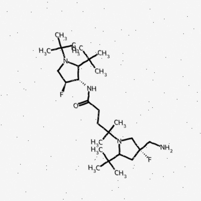 CC(C)(C)C1[C@H](NC(=O)CCC(C)(C)N2C[C@@](F)(CN)CC2C(C)(C)C)[C@@H](F)CN1C(C)(C)C